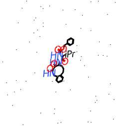 CC(C)C(NC(=O)OCc1ccccc1)C(=O)NC1CCCc2ccccc2CNC(=O)C1=O